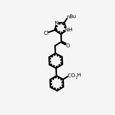 CCCCc1nc(Cl)c(C(=O)Cc2ccc(-c3ccccc3C(=O)O)cc2)[nH]1